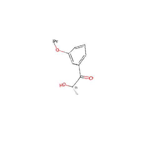 CC(C)Oc1cccc(C(=O)[C@H](C)O)c1